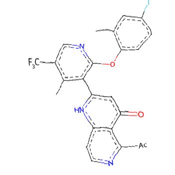 CC(=O)c1nccc2[nH]c(-c3c(Oc4ccc(F)cc4C)ncc(C(F)(F)F)c3C)cc(=O)c12